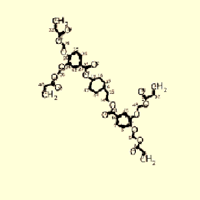 C=CC(=O)OCOc1ccc(C(=O)OCCC2CCC(OC(=O)c3ccc(OCOC(=O)C=C)c(OCOC(=O)C=C)c3)CC2)cc1OCOC(=O)C=C